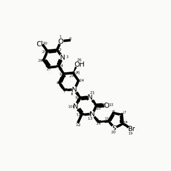 COc1nc(C2=CCN(c3nc(C)n(Cc4ccc(Br)s4)c(=O)n3)C[C@@H]2O)ccc1Cl